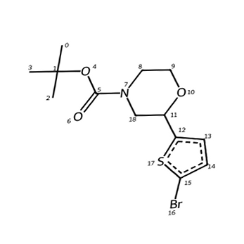 CC(C)(C)OC(=O)N1CCOC(c2ccc(Br)s2)C1